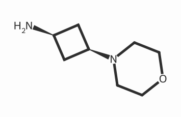 N[C@H]1C[C@@H](N2CCOCC2)C1